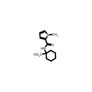 Cn1cccc1C(=O)NC1(C(=O)O)CCCCC1